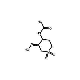 O=C(O)NC1CCS(=O)(=O)CC1=NO